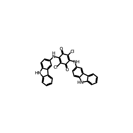 O=C1C(Cl)=C(Nc2ccc3[nH]c4ccccc4c3c2)C(=O)C(Cl)=C1Nc1ccc2[nH]c3ccccc3c2c1